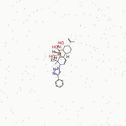 C=C(C)[C@@H]1CC[C@H]2[C@]34C=C[C@@H](n5cc(-c6ccccc6)nn5)[C@@](C)(CC)[C@H]3[C@H](O)[C@](O)(OC4)[C@@]2(C(C)=O)[C@@H]1O